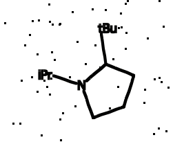 CC(C)N1CCCC1C(C)(C)C